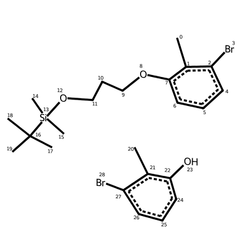 Cc1c(Br)cccc1OCCCO[Si](C)(C)C(C)(C)C.Cc1c(O)cccc1Br